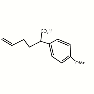 C=CCCC(C(=O)O)c1ccc(OC)cc1